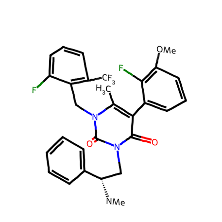 CN[C@@H](Cn1c(=O)c(-c2cccc(OC)c2F)c(C)n(Cc2c(F)cccc2C(F)(F)F)c1=O)c1ccccc1